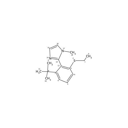 CCSc1cccc(C(C)(C)C)c1-c1nccn1C